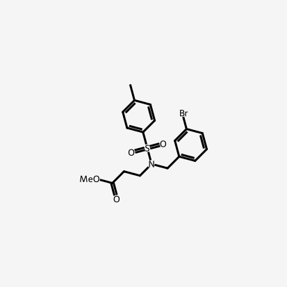 COC(=O)CCN(Cc1cccc(Br)c1)S(=O)(=O)c1ccc(C)cc1